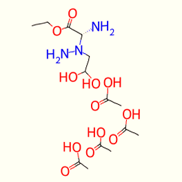 CC(=O)O.CC(=O)O.CC(=O)O.CC(=O)O.CCOC(=O)[C@H](N)N(N)CC(O)O